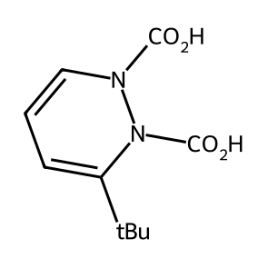 CC(C)(C)C1=CC=CN(C(=O)O)N1C(=O)O